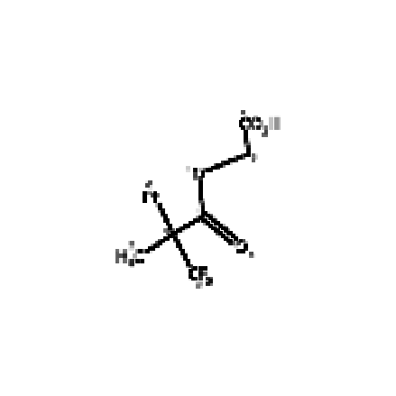 CCC(C)(C(=O)OCC(=O)O)C(F)(F)F